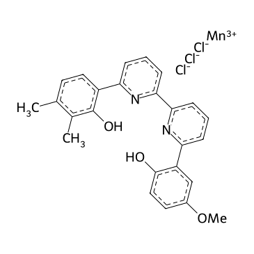 COc1ccc(O)c(-c2cccc(-c3cccc(-c4ccc(C)c(C)c4O)n3)n2)c1.[Cl-].[Cl-].[Cl-].[Mn+3]